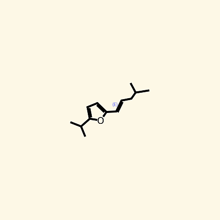 CC(C)C/C=C/c1ccc(C(C)C)o1